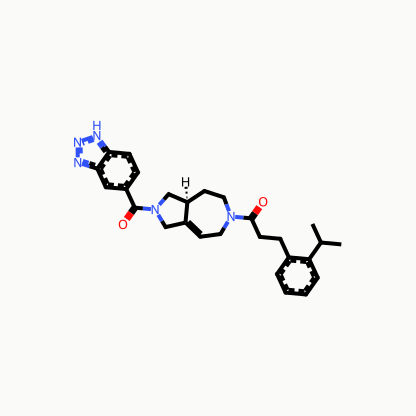 CC(C)c1ccccc1CCC(=O)N1CC=C2CN(C(=O)c3ccc4[nH]nnc4c3)C[C@H]2CC1